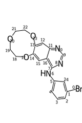 Brc1cccc(Nc2ncnc3cc4c(cc23)OCCOCCO4)c1